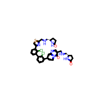 O=C1CC[C@@H](CNCc2nc(-c3cccc(-c4cccc(-c5ccn6c(=O)c(CNC[C@@H]7CCC(=O)N7)cnc6c5)c4Cl)c3Cl)cs2)N1